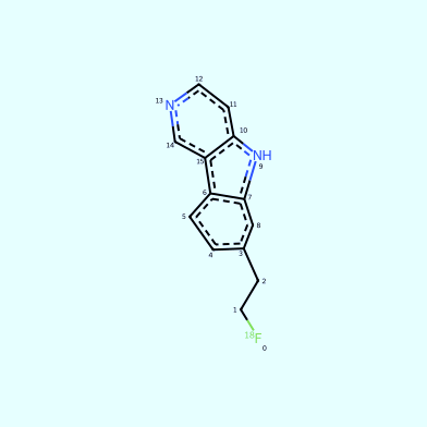 [18F]CCc1ccc2c(c1)[nH]c1ccncc12